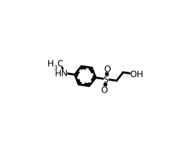 CNc1ccc(S(=O)(=O)CCO)cc1